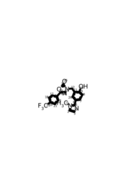 Cn1ccnc1-c1ccc(O)c(Cn2nc(-c3ccc(C(F)(F)F)cc3)oc2=O)c1